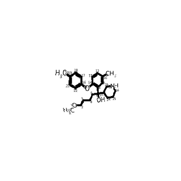 COCCCCC(O)(c1cc(C)ccc1Oc1ccc(C)cc1)C1CCCNC1